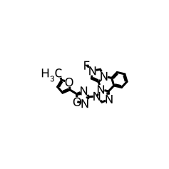 Cc1ccc(-c2nc(N3CN=C4c5ccccc5N5CN(F)C=C5N43)no2)o1